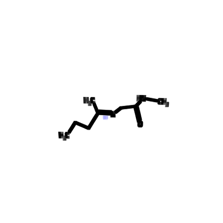 CCC/C(C)=N/CC(=O)NC